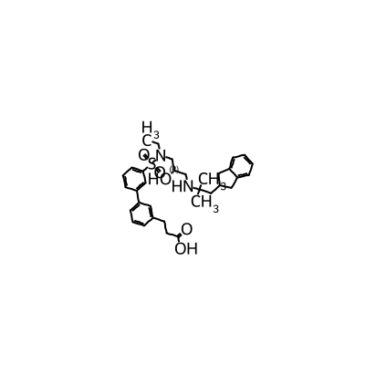 CCN(C[C@H](O)CNC(C)(C)CC1Cc2ccccc2C1)S(=O)(=O)c1cccc(-c2cccc(CCC(=O)O)c2)c1